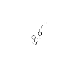 CCCCCc1ccc(C(=O)NCc2c[nH]nc2-c2ccccc2)cc1